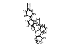 C1=C(c2ncnc3c2COc2ccc(C4CCNCC4)cc2N3)CCOC1